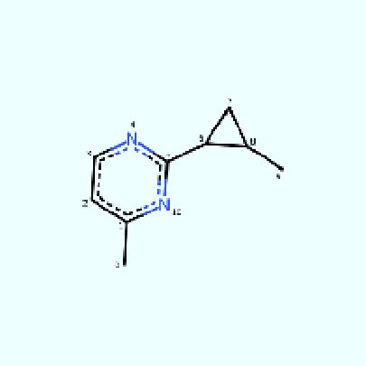 Cc1ccnc(C2CC2C)n1